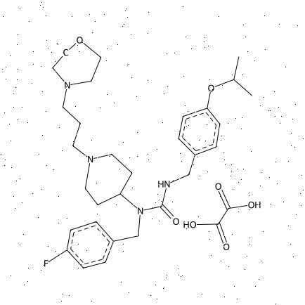 CC(C)Oc1ccc(CNC(=O)N(Cc2ccc(F)cc2)C2CCN(CCCN3CCOCC3)CC2)cc1.O=C(O)C(=O)O